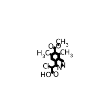 COC(=O)c1c(C)cc2c(C(Cl)C(=O)O)nncc2c1C